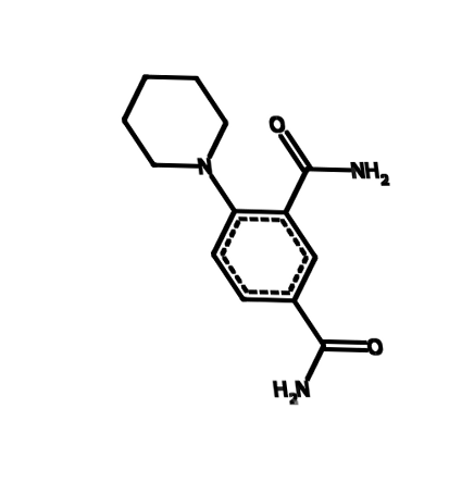 NC(=O)c1ccc(N2CCCCC2)c(C(N)=O)c1